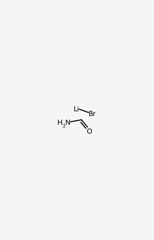 NC=O.[Li][Br]